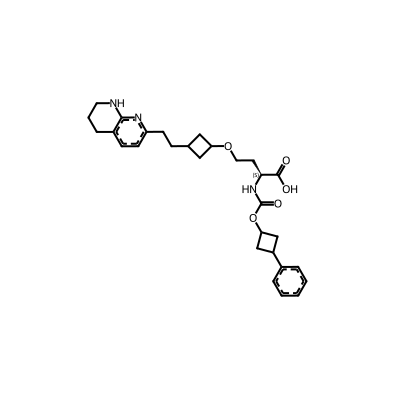 O=C(N[C@@H](CCOC1CC(CCc2ccc3c(n2)NCCC3)C1)C(=O)O)OC1CC(c2ccccc2)C1